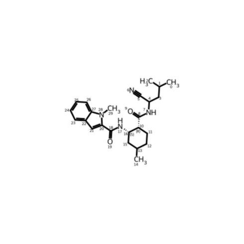 CC(C)CC(C#N)NC(=O)[C@@H]1CCC(C)C[C@@H]1NC(=O)c1cc2ccccc2n1C